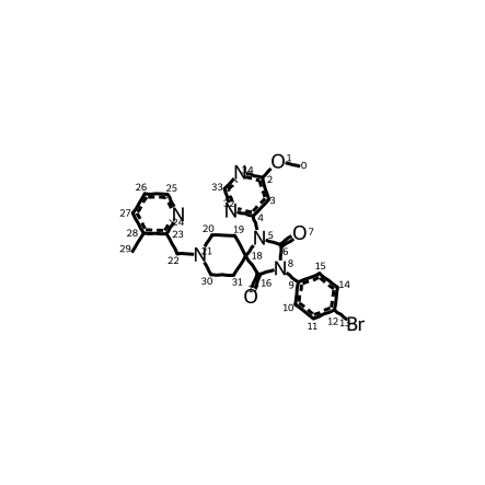 COc1cc(N2C(=O)N(c3ccc(Br)cc3)C(=O)C23CCN(Cc2ncccc2C)CC3)ncn1